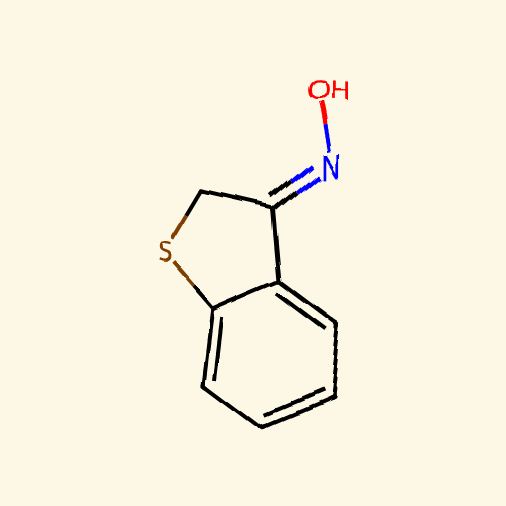 O/N=C1\CSc2ccccc21